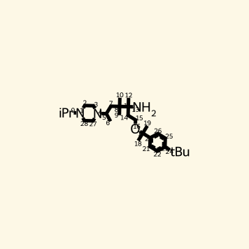 CC(C)N1CCN(C(C)CC(C)(C)C(C)(N)CCOC(C)(C)c2ccc(C(C)(C)C)cc2)CC1